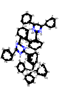 c1ccc(-c2cc(-c3ccccc3)nc(-c3ccccc3-c3ccccc3-c3nc(-c4ccccc4)nc(-c4cccc([Si](c5ccccc5)(c5ccccc5)c5ccccc5)c4)n3)n2)cc1